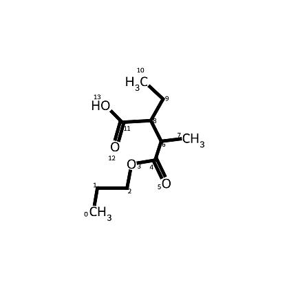 CCCOC(=O)C(C)C(CC)C(=O)O